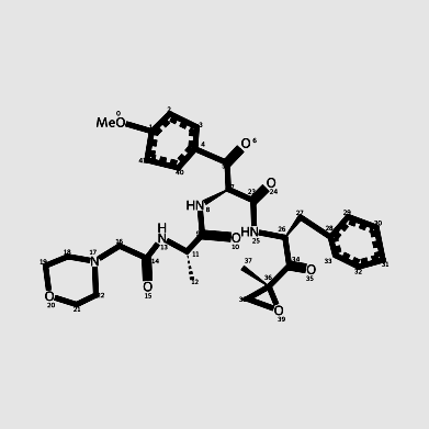 COc1ccc(C(=O)[C@H](NC(=O)[C@H](C)NC(=O)CN2CCOCC2)C(=O)N[C@@H](Cc2ccccc2)C(=O)[C@@]2(C)CO2)cc1